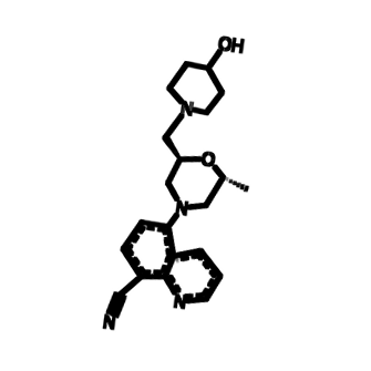 C[C@@H]1CN(c2ccc(C#N)c3ncccc23)C[C@@H](CN2CCC(O)CC2)O1